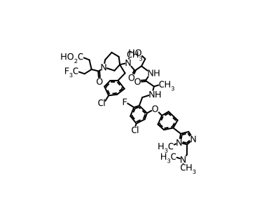 CC(NCc1c(F)cc(Cl)cc1Oc1ccc(-c2cnc(CN(C)C)n2C)cc1)C(=O)NC(CO)C(=O)N(C)C1(Cc2ccc(Cl)cc2)CCCN(C(=O)C(CC(=O)O)CC(F)(F)F)C1